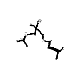 CC(C)=CCOCC(C)(O)COC(C)C